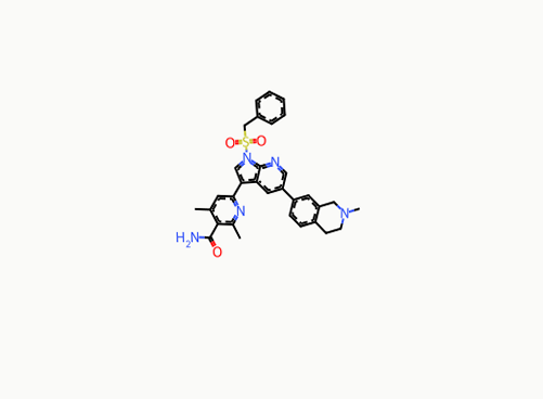 Cc1cc(-c2cn(S(=O)(=O)Cc3ccccc3)c3ncc(-c4ccc5c(c4)CN(C)CC5)cc23)nc(C)c1C(N)=O